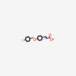 COC(=O)/C=C/c1ccc(OCc2ccc(F)cc2)cc1